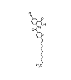 CCCCCCCCCSc1ccc(C(=O)Nc2ccc(C#N)cc2C(=O)O)cn1